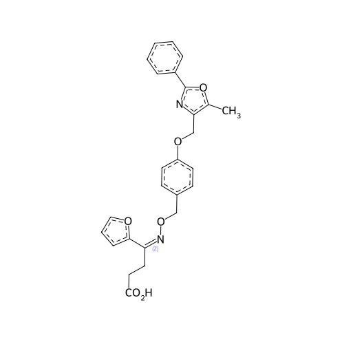 Cc1oc(-c2ccccc2)nc1COc1ccc(CO/N=C(/CCC(=O)O)c2ccco2)cc1